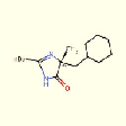 CCCCC1=N[C@](C)(CC2CCCCC2)C(=O)N1